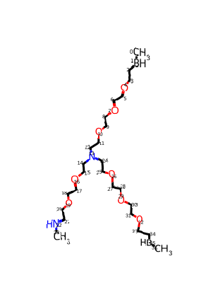 CBCCOCCOCCOCCN(CCOCCOCCNC)CCOCCOCCOCCBC